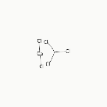 ClC(Cl)Cl.[Cl][Ca][Cl]